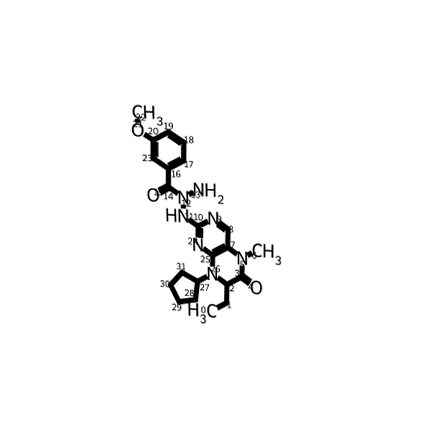 CCC1C(=O)N(C)c2cnc(NN(N)C(=O)c3cccc(OC)c3)nc2N1C1CCCC1